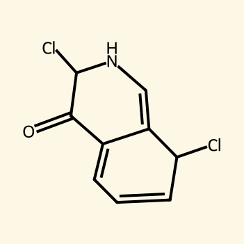 O=C1C2=CC=CC(Cl)C2=CNC1Cl